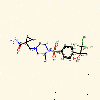 CC1CN(CC2(C(N)=O)CC2)CCN1S(=O)(=O)c1ccc(C(C)(O)C(F)(F)F)cc1